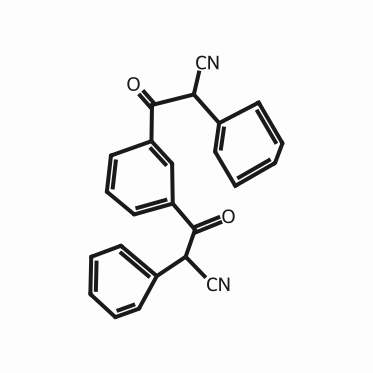 N#CC(C(=O)c1cccc(C(=O)C(C#N)c2ccccc2)c1)c1ccccc1